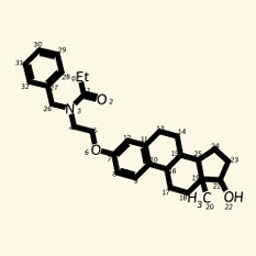 CCC(=O)N(CCOc1ccc2c(c1)CCC1C2CCC2(C)C(O)CCC12)Cc1ccccc1